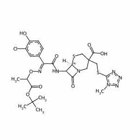 CC(ON=C(C(=O)NC1C(=O)N2CC(CSc3nnnn3C)(C(=O)O)CS[C@H]12)c1ccc(O)c(Cl)c1)C(=O)OC(C)(C)C